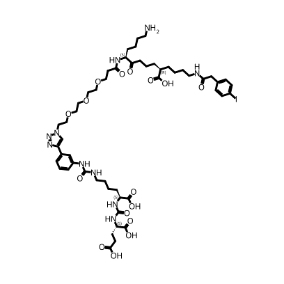 NCCCC[C@H](NC(=O)CCOCCOCCOCCn1cc(-c2cccc(NC(=O)NCCCC[C@H](NC(=O)N[C@@H](CCC(=O)O)C(=O)O)C(=O)O)c2)nn1)C(=O)CCC[C@@H](CCCCNC(=O)Cc1ccc(I)cc1)C(=O)O